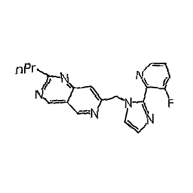 CCCc1ncc2cnc(Cn3ccnc3-c3ncccc3F)cc2n1